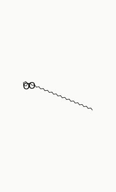 CCCCCCCCCCCCCCCCCCCCCCCCCCCCOCC1CCCO1